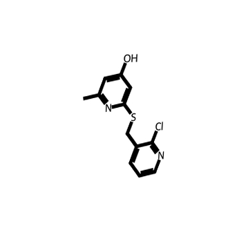 Cc1cc(O)cc(SCc2cccnc2Cl)n1